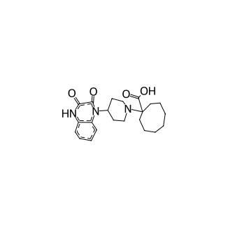 O=C(O)C1(N2CCC(n3c(=O)c(=O)[nH]c4ccccc43)CC2)CCCCCCC1